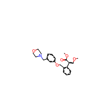 COC=C(C(=O)OC)c1ccccc1COc1cccc(CN2CCOCC2)c1